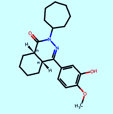 COc1ccc(C2=NN(C3CCCCCC3)C(=O)[C@H]3CCCC[C@@H]23)cc1O